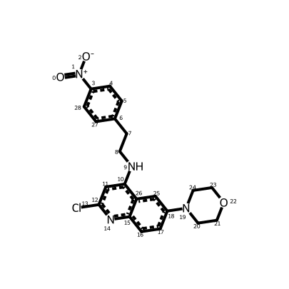 O=[N+]([O-])c1ccc(CCNc2cc(Cl)nc3ccc(N4CCOCC4)cc23)cc1